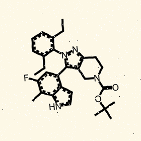 CCc1cccc(CC)c1-n1nc2c(c1-c1cc(F)c(C)c3[nH]ccc13)CN(C(=O)OC(C)(C)C)CC2